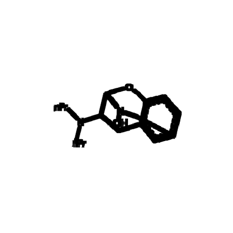 CCCN(CCC)C1Cc2cc3ccc2OC1N3O